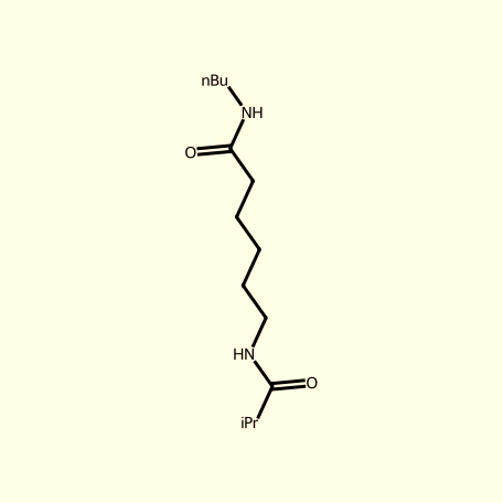 CCCCNC(=O)CCCCCNC(=O)C(C)C